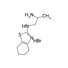 Br.CC(N)CNc1nc2c(s1)CCCC2